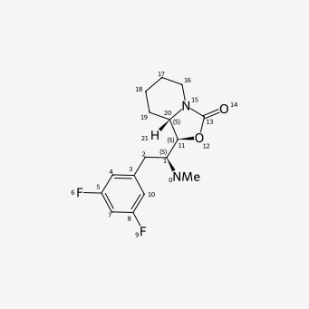 CN[C@@H](Cc1cc(F)cc(F)c1)[C@@H]1OC(=O)N2CCCC[C@@H]12